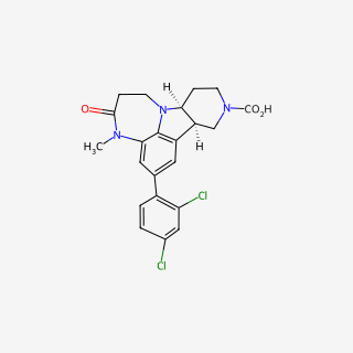 CN1C(=O)CCN2c3c(cc(-c4ccc(Cl)cc4Cl)cc31)[C@@H]1CN(C(=O)O)CC[C@@H]12